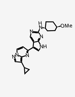 CO[C@H]1CC[C@@H](Nc2ncc3c(-c4ccn5ncc(C6CC6)c5n4)c[nH]c3n2)CC1